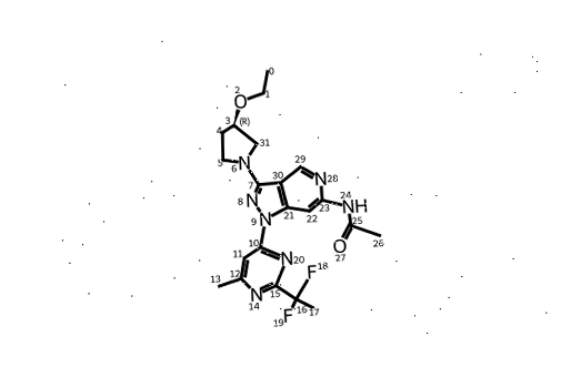 CCO[C@@H]1CCN(c2nn(-c3cc(C)nc(C(C)(F)F)n3)c3cc(NC(C)=O)ncc23)C1